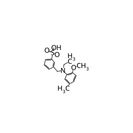 CCN(Cc1cccc(S(=O)(=O)O)c1)c1cc(C)ccc1OC